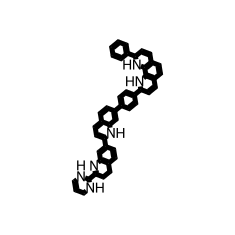 C1=CNC(C2=Nc3cc(C4=CC=C5C=CC(c6ccc(C7C=Cc8ccc9c(c8N7)NC(c7ccccc7)C=C9)cc6)=CC5N4)ccc3CC2)NC1